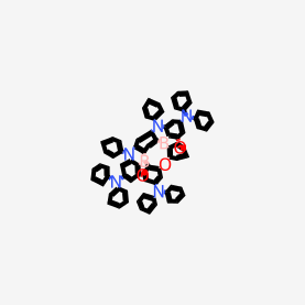 c1ccc(N(c2ccccc2)c2cc3c4c(c2)Oc2cc(N(c5ccccc5)c5ccccc5)cc5c2B4c2cc4c(cc2N5c2ccccc2)N(c2ccccc2)c2cc(N(c5ccccc5)c5ccccc5)cc5c2B4c2c(cccc2O5)O3)cc1